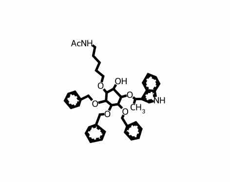 CC(=O)NCCCCCOC1C(O)C(OC(C)c2c[nH]c3ccccc23)C(OCc2ccccc2)C(OCc2ccccc2)C1OCc1ccccc1